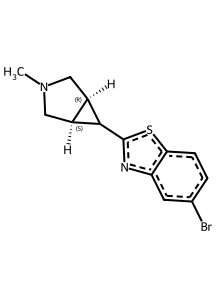 CN1C[C@@H]2C(c3nc4cc(Br)ccc4s3)[C@@H]2C1